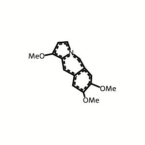 COc1cc2cc3c(OC)ccn3cc2cc1OC